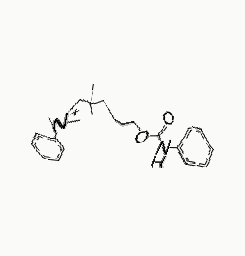 CC(C)(CCCOC(=O)Nc1ccccc1)C[N+](C)(C)c1ccccc1